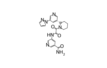 NC(=O)c1cncc(NC(=O)C(=O)N2CCCC[C@H]2c2cncc(-n3cccn3)c2)c1